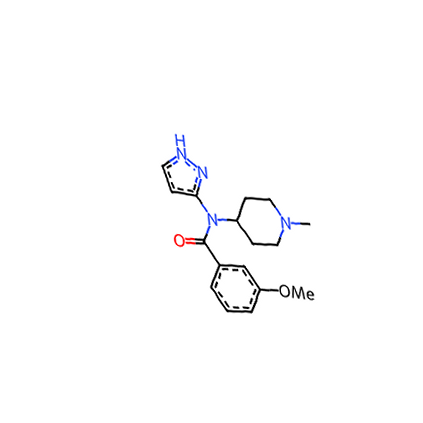 COc1cccc(C(=O)N(c2cc[nH]n2)C2CCN(C)CC2)c1